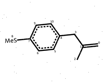 C=C(C)Cc1ccc(SC)cc1